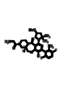 C=CC(=O)N1CCN2C(=O)c3c(N4CC(OC)CC4(C)C)nc(-c4c(F)ccc(F)c4N)c(Cl)c3OC[C@H]2C1